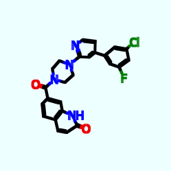 O=C(c1ccc2ccc(=O)[nH]c2c1)N1CCN(c2cc(-c3cc(F)cc(Cl)c3)ccn2)CC1